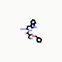 CC(C)CC(=NOCc1ccccc1)C(=O)NC(C=O)Cc1c[nH]c2ccccc12